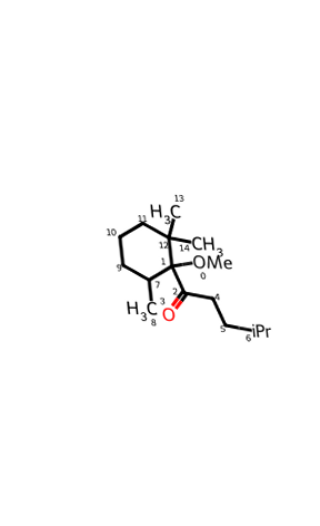 COC1(C(=O)CCC(C)C)C(C)CCCC1(C)C